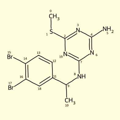 CSc1nc(N)nc(NC(C)c2ccc(Br)c(Br)c2)n1